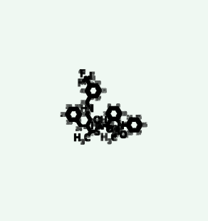 CC(SNC(=O)c1ccccc1N(c1ccccc1)S(C)(=O)=O)[C@@H](Cc1ccccc1)[C@@H](O)CNCc1cccc(C(F)(F)F)c1